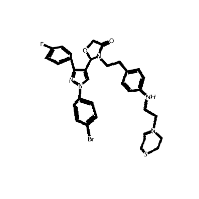 O=C1COC(c2cn(-c3ccc(Br)cc3)nc2-c2ccc(F)cc2)N1CCc1ccc(NCCN2CCSCC2)cc1